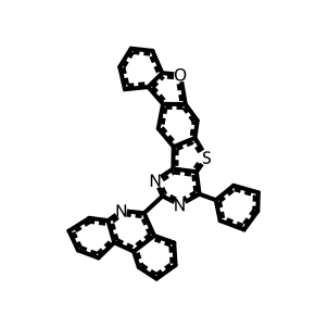 c1ccc(-c2nc(-c3nc4ccccc4c4ccccc34)nc3c2sc2cc4oc5ccccc5c4cc23)cc1